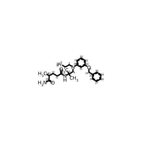 CC(C)CCN(CC(C)(C)NC(=O)[CH]CC(C)C(N)=O)c1cccc(OCc2ccccc2)c1